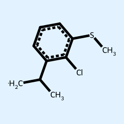 [CH2]C(C)c1cccc(SC)c1Cl